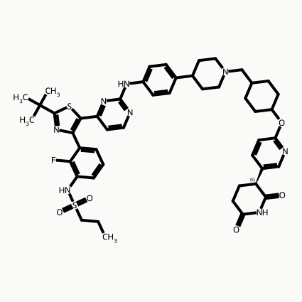 CCCS(=O)(=O)Nc1cccc(-c2nc(C(C)(C)C)sc2-c2ccnc(Nc3ccc(C4CCN(CC5CCC(Oc6ccc([C@@H]7CCC(=O)NC7=O)cn6)CC5)CC4)cc3)n2)c1F